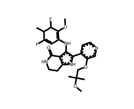 COC1=C(Nc2c(-c3ccncc3OCC(C)(C)OC)[nH]c3c2C(=O)NCC3)C=C(F)C(C)C1F